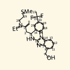 C=C(CC(Nc1nc2c(CO)cccc2[nH]1)c1cccc(C(C)(F)F)c1)N(CC)CCSC